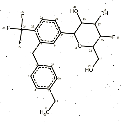 CCc1ccc(Cc2cc(C3OC(CO)C(F)C(O)C3O)ccc2C(F)(F)F)cc1